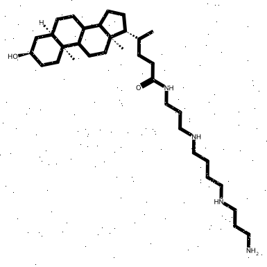 CC(CCC(=O)NCCCNCCCCNCCCN)[C@H]1CCC2C3CC[C@@H]4C[C@H](O)CC[C@]4(C)C3CC[C@@]21C